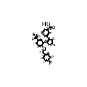 O=C(O)c1ccnc(C2=C(c3cc(C(F)(F)F)ccc3OCc3ccc(F)cc3)CCC2)c1